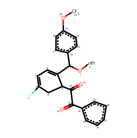 CCCOC(C1=CC=C(F)CC1C(=O)C(=O)c1ccccc1)c1ccc(OC(F)(F)F)cc1